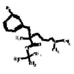 CN(C)CCCC(C)(Cc1cccc(Br)c1)C(=O)OC(C)(C)C